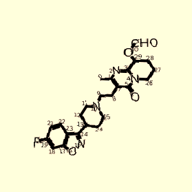 Cc1nc2n(c(=O)c1CCN1CCC(c3noc4cc(F)ccc34)CC1)CCCC2OC=O